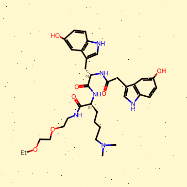 CCOCCOCCNC(=O)[C@H](CCCCN(C)C)NC(=O)[C@H](Cc1c[nH]c2ccc(O)cc12)NC(=O)Cc1c[nH]c2ccc(O)cc12